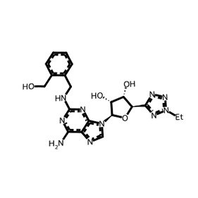 CCn1nnc([C@H]2O[C@@H](n3cnc4c(N)nc(NCc5ccccc5CO)nc43)[C@H](O)[C@@H]2O)n1